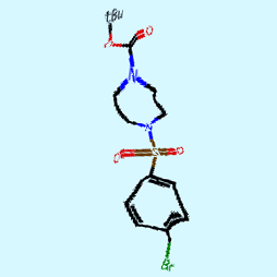 CC(C)(C)OC(=O)N1CCN(S(=O)(=O)c2ccc(Br)cc2)CC1